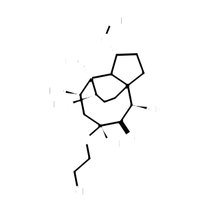 CCCS[C@]1(C)C[C@@H](O)[C@@]2(C)C3[C@H](OC)CCC3(CC[C@H]2C)[C@@H](C)C1=O